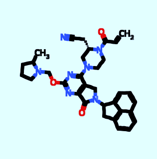 C=CC(=O)N1CCN(c2nc(OCN3CCCC3C)nc3c2CN(C2Cc4cccc5cccc2c45)C3=O)C[C@@H]1CC#N